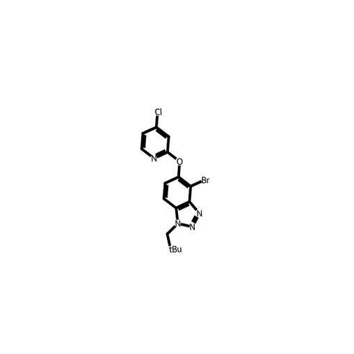 CC(C)(C)Cn1nnc2c(Br)c(Oc3cc(Cl)ccn3)ccc21